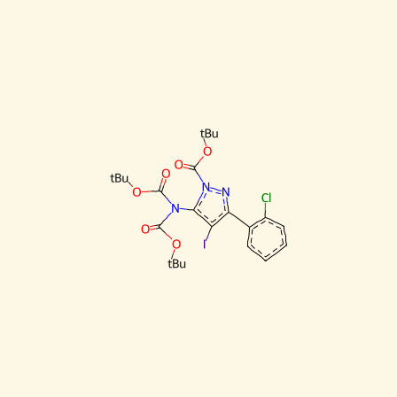 CC(C)(C)OC(=O)N(C(=O)OC(C)(C)C)c1c(I)c(-c2ccccc2Cl)nn1C(=O)OC(C)(C)C